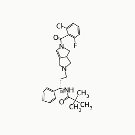 CC(C)(C)C(=O)N[C@@H](CCN1CC2=CN(C(=O)c3c(F)cccc3Cl)CC2C1)c1ccccc1